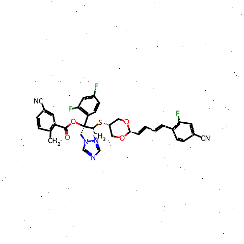 [CH2]c1ccc(C#N)cc1C(=O)O[C@@](Cn1cncn1)(c1ccc(F)cc1F)[C@@H](C)S[C@H]1CO[C@H](/C=C/C=C/c2ccc(C#N)cc2F)OC1